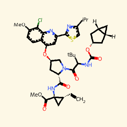 C=C[C@@H]1C[C@]1(NC(=O)[C@@H]1C[C@@H](Oc2cc(-c3nc(C(C)C)cs3)nc3c(Cl)c(OC)ccc23)CN1C(=O)C(NC(=O)O[C@@H]1C[C@@H]2C[C@@H]2C1)C(C)(C)C)C(=O)OC